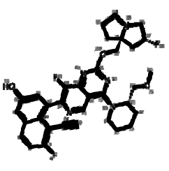 C#Cc1c(F)ccc2cc(O)cc(-c3ncc4c(N5CCCC[C@H]5COC)nc(OC[C@@]56CCCN5C[C@H](F)C6)nc4c3F)c12